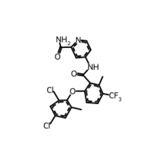 Cc1cc(Cl)cc(Cl)c1Oc1ccc(C(F)(F)F)c(C)c1C(=O)Nc1ccnc(C(N)=O)c1